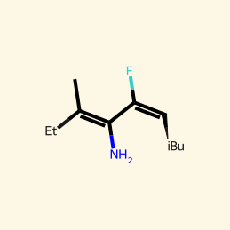 CC/C(C)=C(N)/C(F)=C\[C@H](C)CC